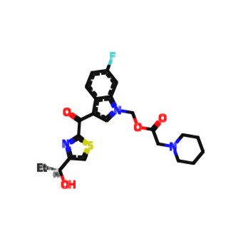 CC[C@@H](O)c1csc(C(=O)c2cn(COC(=O)CN3CCCCC3)c3cc(F)ccc23)n1